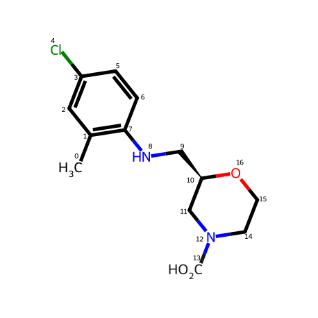 Cc1cc(Cl)ccc1NC[C@@H]1CN(C(=O)O)CCO1